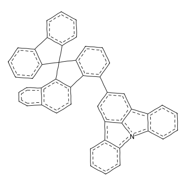 c1ccc2c(c1)-c1ccccc1C21c2cccc(-c3cc4c5ccccc5n5c6ccccc6c(c3)c45)c2-c2ccc3ccccc3c21